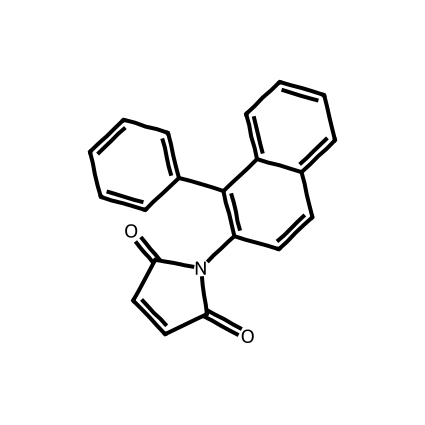 O=C1C=CC(=O)N1c1ccc2ccccc2c1-c1ccccc1